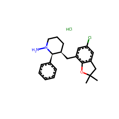 CC1(C)Cc2cc(Cl)cc(C[C@@H]3CCCN(N)[C@@H]3c3ccccc3)c2O1.Cl